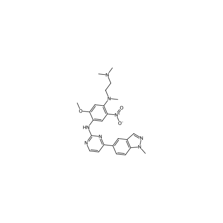 COc1cc(N(C)CCN(C)C)c([N+](=O)[O-])cc1Nc1nccc(-c2ccc3c(cnn3C)c2)n1